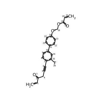 C=CC(=O)CC#Cc1ccc(-c2ccc(OCOC(=O)C=C)cc2)cc1F